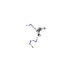 CCCCC/C=C\C/C=C\C/C=C\C/C=C\CCCCCC(=O)OC[C@H](COP(=O)([O-])OCC[N+](C)(C)C)OC(=O)CCCCCCC/C=C\CCCCC